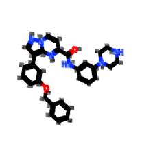 O=C(Nc1cccc(N2CCNCC2)c1)c1ccn2ncc(-c3cccc(OCc4ccccc4)c3)c2n1